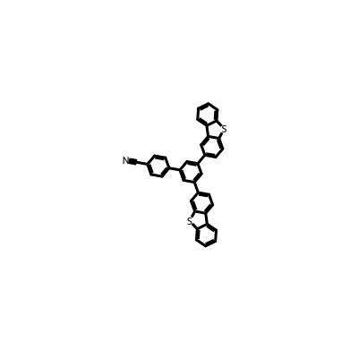 N#Cc1ccc(-c2cc(-c3ccc4c(c3)sc3ccccc34)cc(-c3ccc4sc5ccccc5c4c3)c2)cc1